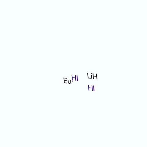 I.I.[Eu].[LiH]